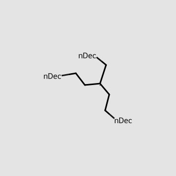 CCCCCCCCCCCC[C](CCCCCCCCCCC)CCCCCCCCCCCC